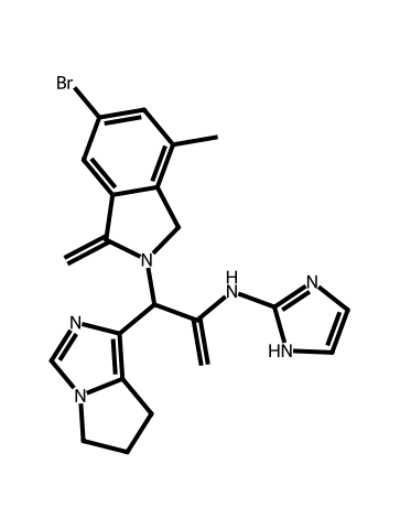 C=C(Nc1ncc[nH]1)C(c1ncn2c1CCC2)N1Cc2c(C)cc(Br)cc2C1=C